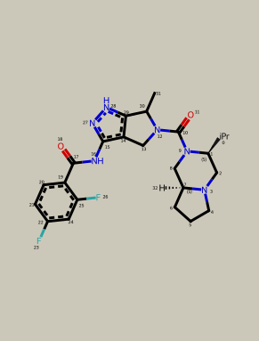 CC(C)[C@H]1CN2CCC[C@H]2CN1C(=O)N1Cc2c(NC(=O)c3ccc(F)cc3F)n[nH]c2C1C